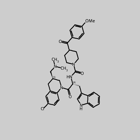 COc1ccc(C(=O)C2CCN(C(=O)N[C@H](Cc3c[nH]c4ccccc34)C(=O)N3C[C@H](CN(C)C)Cc4cc(Cl)ccc43)CC2)cc1